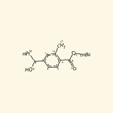 CCCCOC(=O)c1ccc(C(O)CCC)cc1C